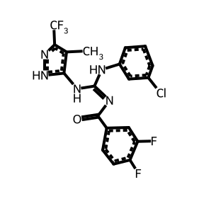 Cc1c(C(F)(F)F)n[nH]c1N/C(=N\C(=O)c1ccc(F)c(F)c1)Nc1cccc(Cl)c1